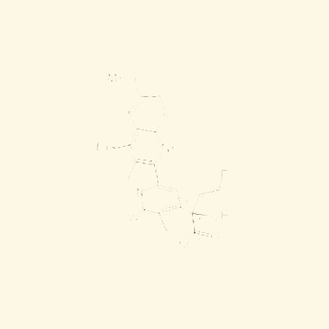 CCc1c2c(nc3ccc(OC)cc13)-c1cc3c(c(=O)n1C2)COC(=O)C3(O)CCF